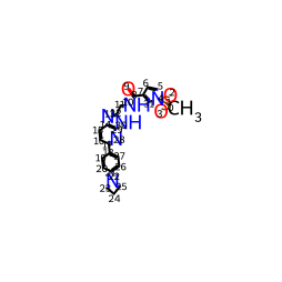 CS(=O)(=O)n1ccc(C(=O)NCc2nc3ccc(-c4ccc(N5CCC5)cc4)nc3[nH]2)c1